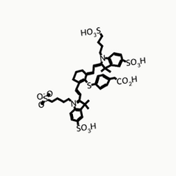 CC1(C)C(/C=C/C2=C(Sc3ccc(CC(=O)O)cc3)C(=C/C=C3/N(CCCCS(=O)(=O)O)c4ccc(S(=O)(=O)O)cc4C3(C)C)/CCC2)=[N+](CCCCS(=O)(=O)[O-])c2ccc(S(=O)(=O)O)cc21